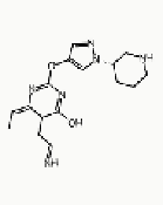 C/C=C1/N=C(Oc2cnn([C@H]3CCCNC3)c2)N=C(O)C1CC=N